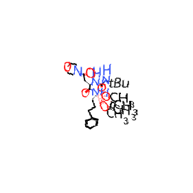 CC(C)(C)NC(=O)N[C@H](CC(=O)N1CCOCC1)C(=O)N[C@@H](CCCc1ccccc1)B1OC(C)(C)C(C)(C)O1